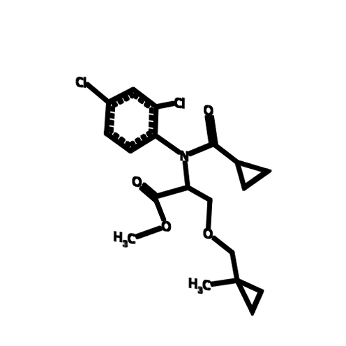 COC(=O)C(COCC1(C)CC1)N(C(=O)C1CC1)c1ccc(Cl)cc1Cl